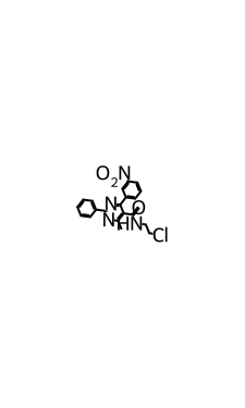 Cc1nc(-c2ccccc2)nc(-c2cccc([N+](=O)[O-])c2)c1C(=O)NCCCl